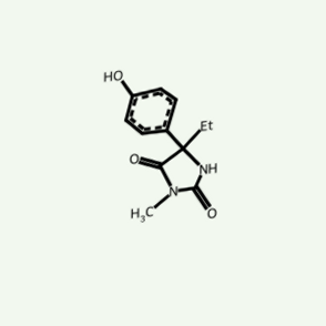 CCC1(c2ccc(O)cc2)NC(=O)N(C)C1=O